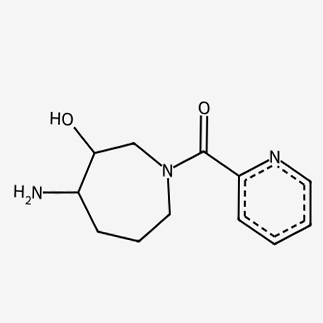 NC1CCCN(C(=O)c2ccccn2)CC1O